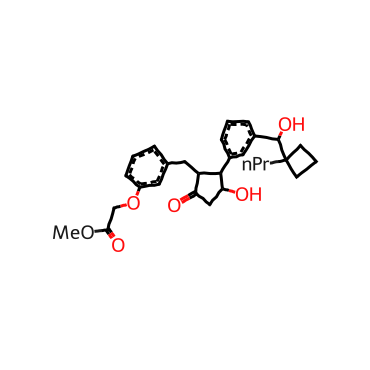 CCCC1(C(O)c2cccc(C3C(O)CC(=O)C3Cc3cccc(OCC(=O)OC)c3)c2)CCC1